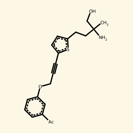 CC(=O)c1cccc(OCC#Cc2ccc(CCC(C)(N)CO)s2)c1